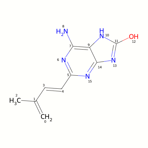 C=C(C)C=Cc1nc(N)c2[nH]c(O)nc2n1